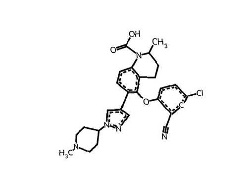 CC1CCc2c(ccc(-c3cnn(C4CCN(C)CC4)c3)c2Oc2ccc(Cl)cc2C#N)N1C(=O)O